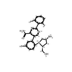 NC(=O)c1nc(-c2c(F)cccc2F)ncc1-c1cc(F)ccc1N1C[C@@H](N)C[C@H]1CO